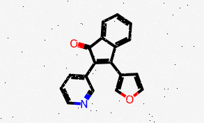 O=C1C(c2cccnc2)=C(c2ccoc2)c2ccccc21